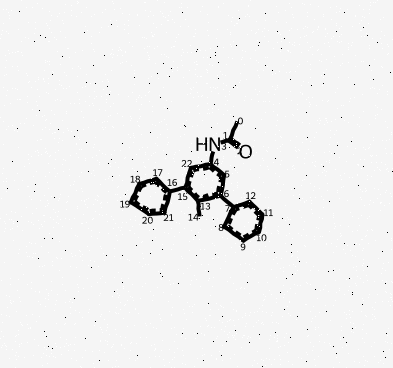 CC(=O)Nc1cc(-c2ccccc2)c(C)c(-c2ccccc2)c1